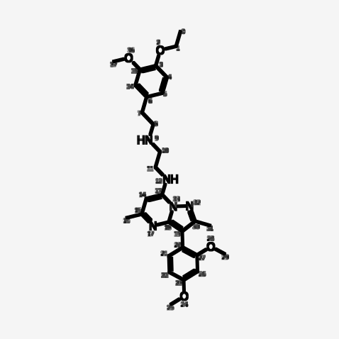 CCOc1ccc(CCNCCNc2cc(C)nc3c(-c4ccc(OC)cc4OC)c(C)nn23)cc1OC